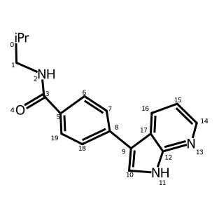 CC(C)CNC(=O)c1ccc(-c2c[nH]c3ncccc23)cc1